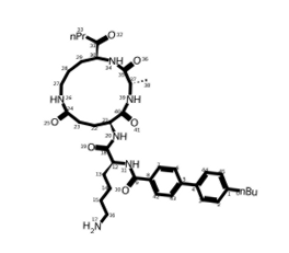 CCCCc1ccc(-c2ccc(C(=O)N[C@@H](CCCCN)C(=O)N[C@H]3CCC(=O)NCCC[C@@H](C(=O)CCC)NC(=O)[C@H](C)NC3=O)cc2)cc1